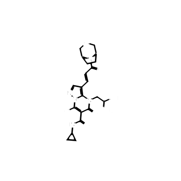 CC(C)Cn1c(=O)c(C(=O)NC2CC2)c(O)n2ncc(/C=C/C(=O)N3C4CCC3COC4)c12